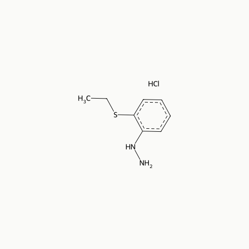 CCSc1ccccc1NN.Cl